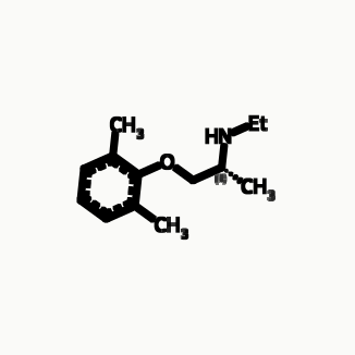 CCN[C@H](C)COc1c(C)cccc1C